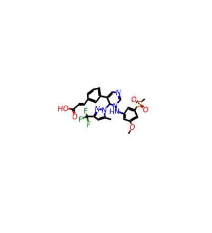 COc1cc(NN2C=NC=C(c3cccc(/C=C/C(=O)O)c3)C2n2nc(C(F)(F)F)cc2C)cc(S(C)(=O)=O)c1